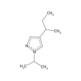 CCC(C)c1cnn(C(C)C)c1